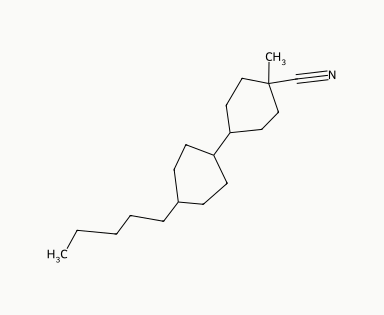 CCCCCC1CCC(C2CCC(C)(C#N)CC2)CC1